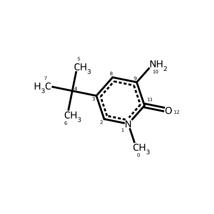 Cn1cc(C(C)(C)C)cc(N)c1=O